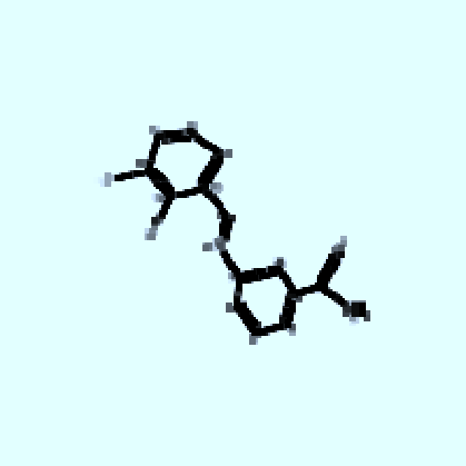 NC(=O)c1cccc(N=Cc2cccc(F)c2F)c1